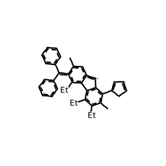 CCc1c(C)c(C2=CC=CC2)c2c(c1CC)-c1c(CC)c(=C(c3ccccc3)c3ccccc3)c(C)cc1=[C]2